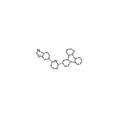 c1cc(-c2ccc3ncsc3c2)nc(-c2ccc3c4ccccc4c4ccccc4c3c2)c1